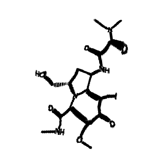 CNC(=O)c1c(OC)c(=O)c(I)c2n1[C@H](CO)CC2NC(=O)C(=O)N(C)C